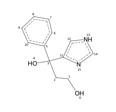 OCCC(O)(c1ccccc1)c1c[nH]cn1